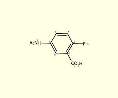 CC(=O)Nc1ccc(F)c(C(=O)O)c1